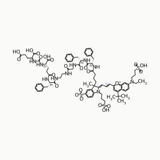 CCN(CCCS(=O)(=O)O)c1ccc2c(C(C)(C)C)cc(/C=C/C=C3\N(CCCS(=O)(=O)O)c4ccc(S(=O)(=O)[O-])cc4C3(C)CCCC(=O)N[C@@H](Cc3ccccc3)C(=O)N[C@@H](Cc3ccccc3)C(=O)NCC(=O)NCCNC(=O)[C@H](Cc3ccccc3)NC(=O)CC[C@H](NC(=O)N[C@@H](CCC(=O)O)C(=O)O)C(=O)O)[o+]c2c1